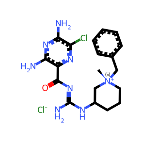 C[N@@+]1(Cc2ccccc2)CCCC(NC(N)=NC(=O)c2nc(Cl)c(N)nc2N)C1.[Cl-]